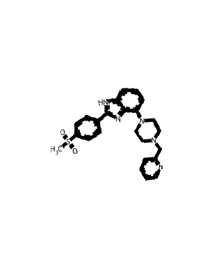 CS(=O)(=O)c1ccc(-c2nc3c(N4CCN(Cc5ccccn5)CC4)cccc3[nH]2)cc1